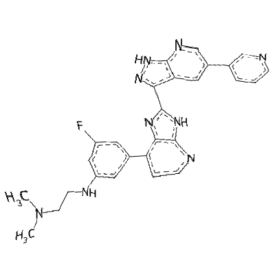 CN(C)CCNc1cc(F)cc(-c2ccnc3[nH]c(-c4n[nH]c5ncc(-c6cccnc6)cc45)nc23)c1